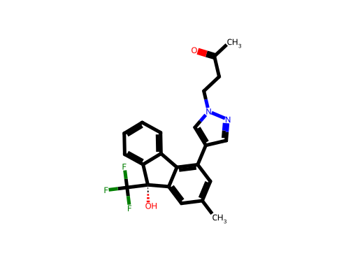 CC(=O)CCn1cc(-c2cc(C)cc3c2-c2ccccc2[C@]3(O)C(F)(F)F)cn1